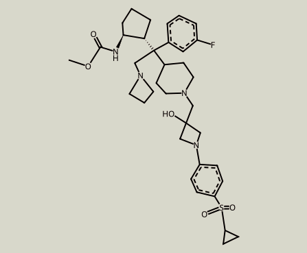 COC(=O)N[C@H]1CCC[C@@H]1C(CN1CCC1)(c1cccc(F)c1)C1CCN(CC2(O)CN(c3ccc(S(=O)(=O)C4CC4)cc3)C2)CC1